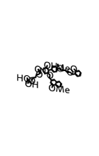 COc1ccccc1COCCCOc1ccc(C2C(O)CN(C(=O)OCCCON(O)O)CC2OCc2cc(OC)c3ccccc3c2)cc1